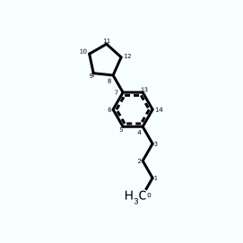 CCCCc1ccc(C2[CH]CCC2)cc1